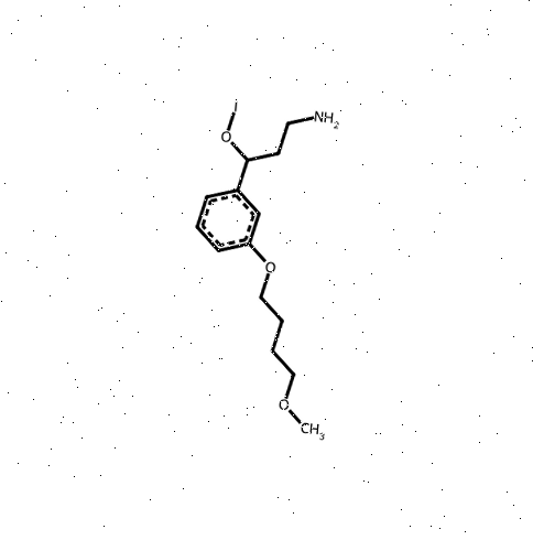 COCCCCOc1cccc(C(CCN)OI)c1